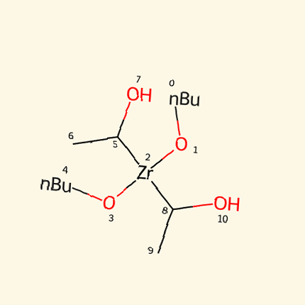 CCCC[O][Zr]([O]CCCC)([CH](C)O)[CH](C)O